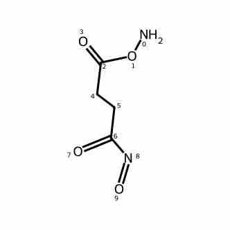 NOC(=O)CCC(=O)N=O